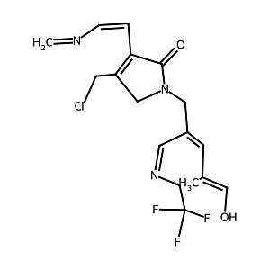 C=N/C=C\C1=C(CCl)CN(CC(/C=N\CC(F)(F)F)=C/C(C)=C/O)C1=O